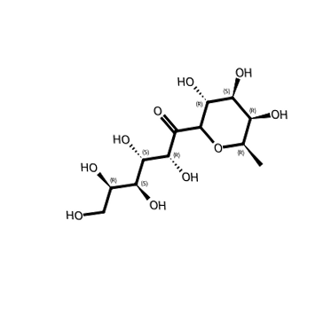 C[C@H]1OC(C(=O)[C@H](O)[C@@H](O)[C@@H](O)[C@H](O)CO)[C@H](O)[C@@H](O)[C@H]1O